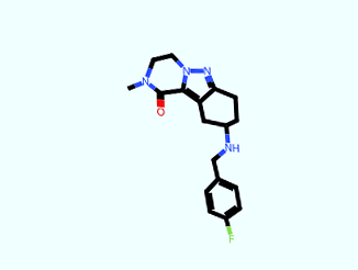 CN1CCn2nc3c(c2C1=O)CC(NCc1ccc(F)cc1)CC3